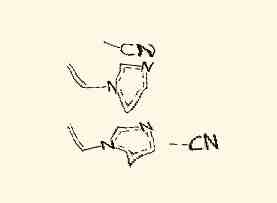 C=Cn1ccnc1.C=Cn1ccnc1.CC#N.CC#N